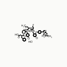 COCC(NC(=O)C(CCF)NCc1ccc(Cl)cc1Oc1ccc(-c2cnc(CN(C)C)n2C)cc1)C(=O)NC1(Cc2ccc(Cl)cc2)CCCN(C(=O)C(CC(=O)O)Cc2ccccc2)C1.Cl